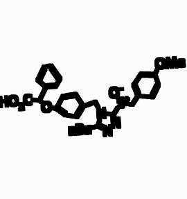 CCCCc1nnc([S+]([O-])Cc2ccc(OC)cc2)n1Cc1ccc(OC(C(=O)O)c2ccccc2)cc1